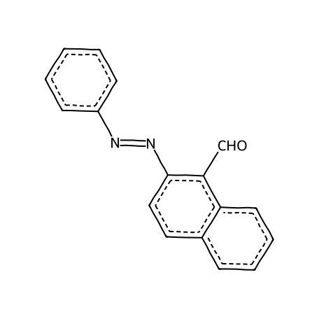 O=Cc1c(N=Nc2ccccc2)ccc2ccccc12